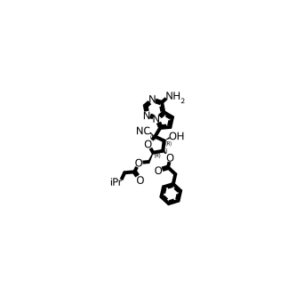 CC(C)CC(=O)OC[C@H]1O[C@@](C#N)(c2ccc3c(N)ncnn23)[C@H](O)[C@@H]1OC(=O)Cc1ccccc1